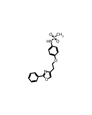 CS(=O)(=O)Nc1ccc(OCCc2coc(-c3ccccc3)n2)cc1